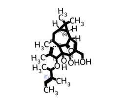 C/C=C(\C)C(C)O[C@H]1C(C)=C[C@]23C(=O)[C@@H](C=C(CO)[C@@H](O)[C@]12O)[C@H]1[C@@H](C[C@H]3C)C1(C)C